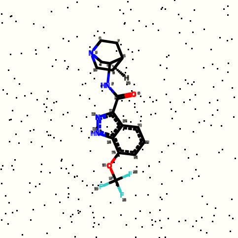 O=C(N[C@H]1CN2CCC1CC2)c1n[nH]c2c(OC(F)(F)F)cccc12